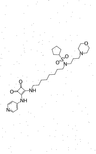 O=c1c(NCCCCCCCCN(CCCN2CCOCC2)S(=O)(=O)C2CCCC2)c(Nc2ccncc2)c1=O